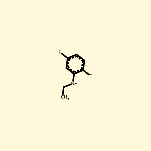 CCNc1cc(F)ccc1F